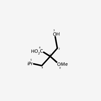 COC(CO)(CC(C)C)C(=O)O